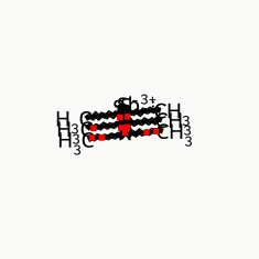 CCCCCCCCCCCN(CCCCCCCCCCC)C(=S)[S-].CCCCCCCCCCCN(CCCCCCCCCCC)C(=S)[S-].CCCCCCCCCCCN(CCCCCCCCCCC)C(=S)[S-].[Sb+3]